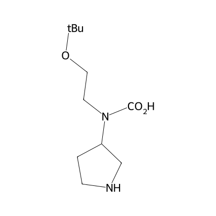 CC(C)(C)OCCN(C(=O)O)C1CCNC1